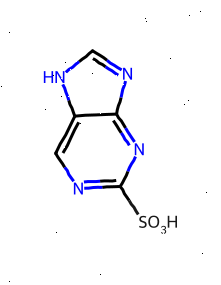 O=S(=O)(O)c1ncc2[nH]cnc2n1